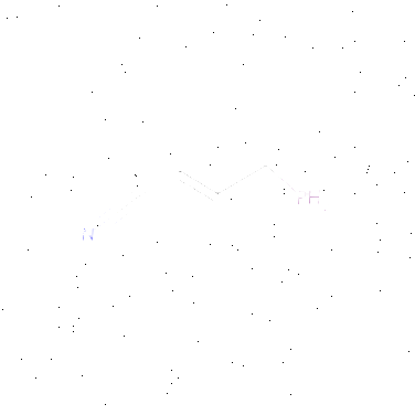 N#CC=CCP